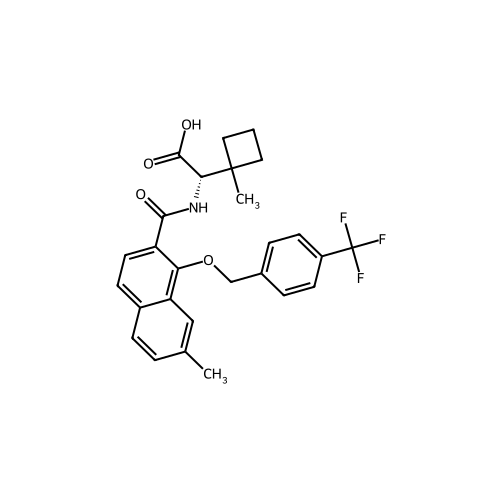 Cc1ccc2ccc(C(=O)N[C@H](C(=O)O)C3(C)CCC3)c(OCc3ccc(C(F)(F)F)cc3)c2c1